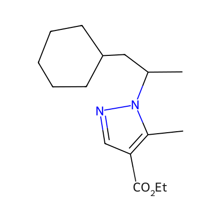 CCOC(=O)c1cnn(C(C)CC2CCCCC2)c1C